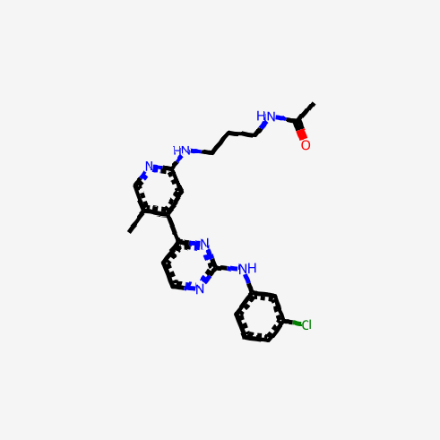 CC(=O)NCCCNc1cc(-c2ccnc(Nc3cccc(Cl)c3)n2)c(C)cn1